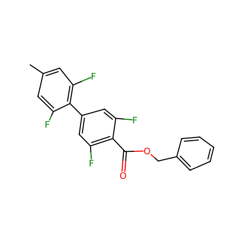 Cc1cc(F)c(-c2cc(F)c(C(=O)OCc3ccccc3)c(F)c2)c(F)c1